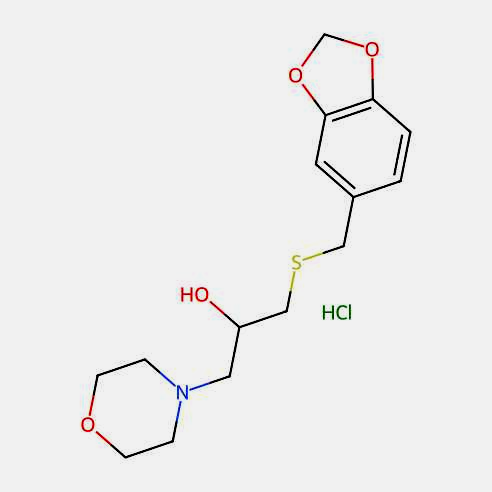 Cl.OC(CSCc1ccc2c(c1)OCO2)CN1CCOCC1